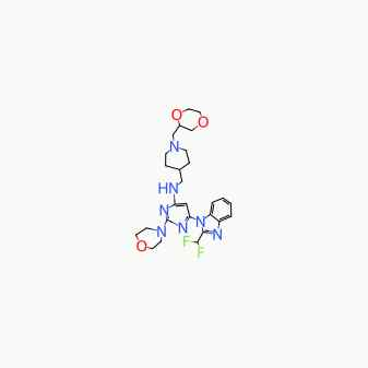 FC(F)c1nc2ccccc2n1-c1cc(NCC2CCN(CC3COCCO3)CC2)nc(N2CCOCC2)n1